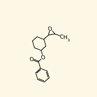 CC1OC1C1CCCC(OC(=O)c2ccccc2)C1